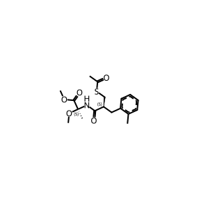 COC(=O)[C@@](C)(NC(=O)[C@@H](CSC(C)=O)Cc1ccccc1C)OC